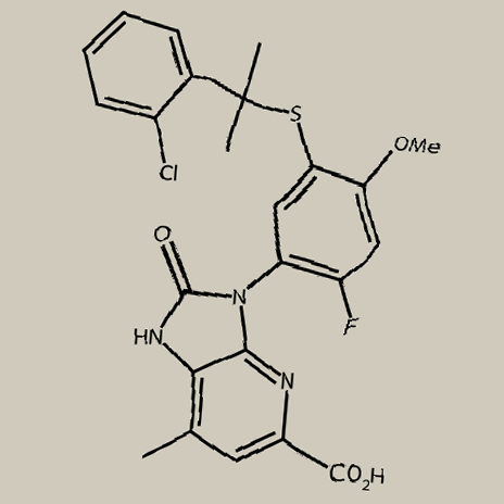 COc1cc(F)c(-n2c(=O)[nH]c3c(C)cc(C(=O)O)nc32)cc1SC(C)(C)c1ccccc1Cl